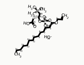 C=CCOC(CCCCCCCCCCCCC)OP(=O)(O)O[C@H](CC(=O)O)C[N+](C)(C)C.[OH-]